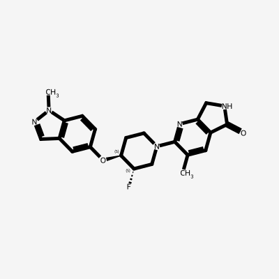 Cc1cc2c(nc1N1CC[C@H](Oc3ccc4c(cnn4C)c3)[C@@H](F)C1)CNC2=O